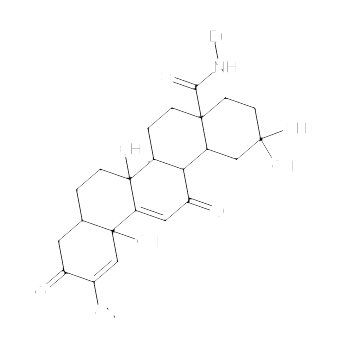 CCNC(=O)C12CCC3C(C(=O)C=C4C5(C)C=C(C#N)C(=O)CC5CCC43C)C1CC(C)(C)CC2